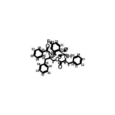 O=C(N[C@@H](COC(=O)[C@H](Cc1ccccc1)NS(=O)(=O)c1ccc(F)cc1F)Cc1ccccc1)c1ccccc1